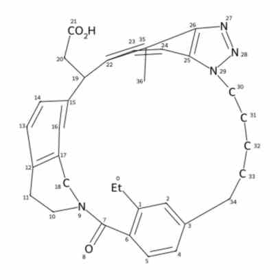 CCc1cc2ccc1C(=O)N1CCc3ccc(cc3C1)C(CC(=O)O)c1ccc3c(nnn3CCCCC2)c1C